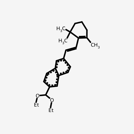 CCOC(OCC)c1ccc2cc(C=CC3=C(C)CCCC3(C)C)ccc2c1